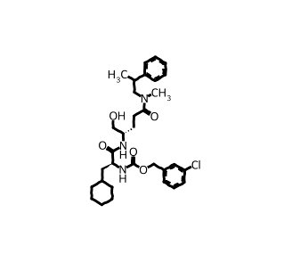 CC(CN(C)C(=O)CC[C@@H](CO)NC(=O)[C@H](CC1CCCCC1)NC(=O)OCc1cccc(Cl)c1)c1ccccc1